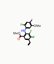 C=Cc1cc(C(=O)OC)c(Nc2cc(OC)c(I)cc2F)c(F)c1F